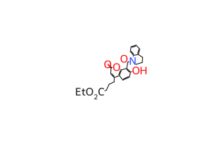 CCOC(=O)CCCc1cc(=O)oc2c(C(=O)N3CCCc4ccccc43)c(O)ccc12